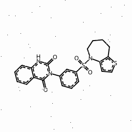 O=c1[nH]c2ccccc2c(=O)n1-c1cccc(S(=O)(=O)N2CCCCc3sccc32)c1